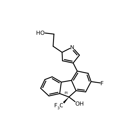 OCCC1C=C(c2cc(F)cc3c2-c2ccccc2[C@]3(O)C(F)(F)F)C=N1